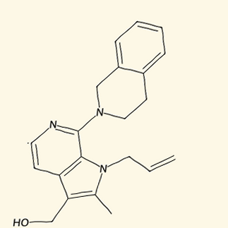 C=CCn1c(C)c(CO)c2c[c]nc(N3CCc4ccccc4C3)c21